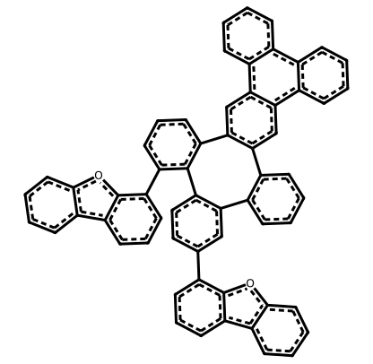 c1ccc2c(c1)-c1cc3c4ccccc4c4ccccc4c3cc1-c1cccc(-c3cccc4c3oc3ccccc34)c1-c1ccc(-c3cccc4c3oc3ccccc34)cc1-2